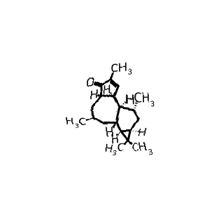 CC1=C[C@H]2[C@@H]3[C@@H](C[C@@H](C)C[C@@H]2C1=O)[C@H]1[C@@H](C[C@H]3C)C1(C)C